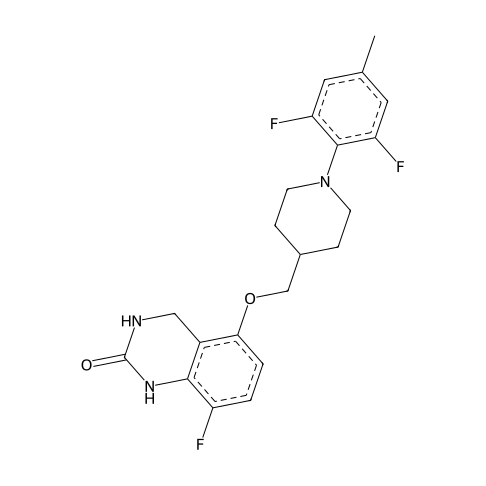 Cc1cc(F)c(N2CCC(COc3ccc(F)c4c3CNC(=O)N4)CC2)c(F)c1